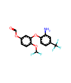 Nc1cc(C(F)(F)F)ccc1Oc1cc(OC=O)ccc1OC(F)F